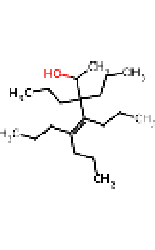 CCCC(CCC)=C(CCC)C(CCC)(CCC)C(C)O